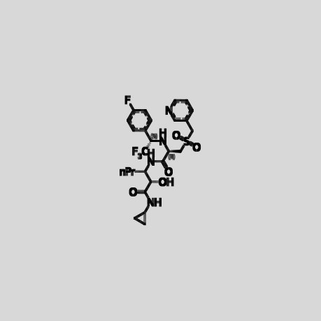 CCCC(NC(=O)[C@H](CS(=O)(=O)Cc1cccnc1)N[C@@H](c1ccc(F)cc1)C(F)(F)F)C(O)C(=O)NC1CC1